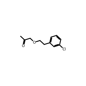 CC(=O)COCCc1cccc(Cl)c1